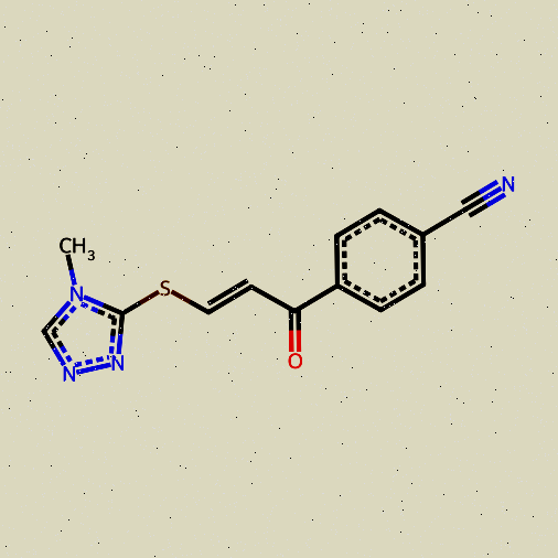 Cn1cnnc1S/C=C/C(=O)c1ccc(C#N)cc1